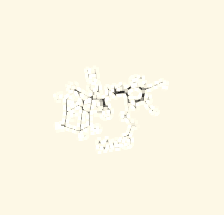 COCCn1c(C)c(C)sc1=NC(=O)C1(O)C2CC3CC(C2)CC1C3